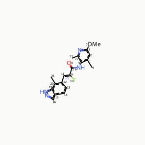 COc1cc(C)c(NC(=O)/C(F)=C/c2ccc3cn[nH]c3c2C)c(C)n1